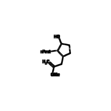 C=C(CC1CCC(O)C1CCCCC)OC